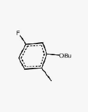 Cc1ccc(F)cc1OCC(C)C